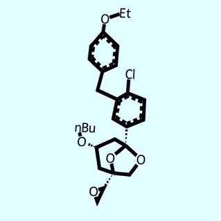 CCCCO[C@@H]1C[C@@]2(c3ccc(Cl)c(Cc4ccc(OCC)cc4)c3)OC[C@@](C3CO3)(C1)O2